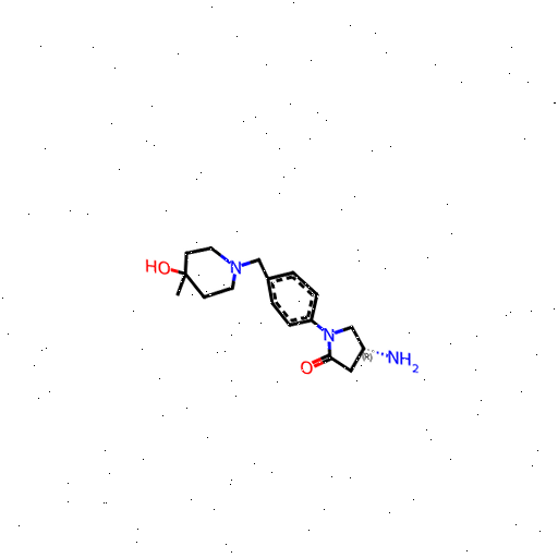 CC1(O)CCN(Cc2ccc(N3C[C@H](N)CC3=O)cc2)CC1